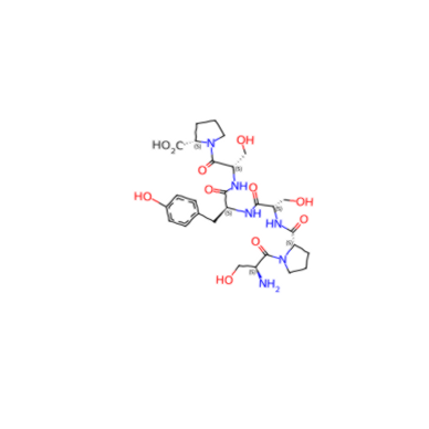 N[C@@H](CO)C(=O)N1CCC[C@H]1C(=O)N[C@@H](CO)C(=O)N[C@@H](Cc1ccc(O)cc1)C(=O)N[C@@H](CO)C(=O)N1CCC[C@H]1C(=O)O